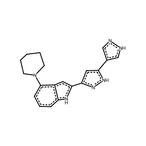 c1cc(N2CCCCC2)c2cc(-c3cc(-c4cn[nH]c4)[nH]n3)[nH]c2c1